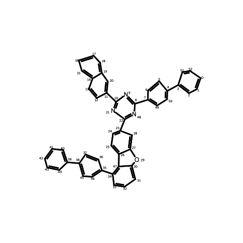 c1ccc(-c2ccc(-c3nc(-c4ccc5ccccc5c4)nc(-c4ccc5c(c4)oc4cccc(-c6ccc(-c7ccccc7)cc6)c45)n3)cc2)cc1